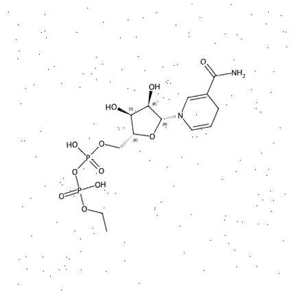 CCOP(=O)(O)OP(=O)(O)OC[C@H]1O[C@@H](N2C=CCC(C(N)=O)=C2)[C@H](O)[C@@H]1O